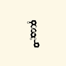 O=c1cc2n(cc1OCc1ccccc1)CCN(Cc1c(F)cccc1Cl)C2